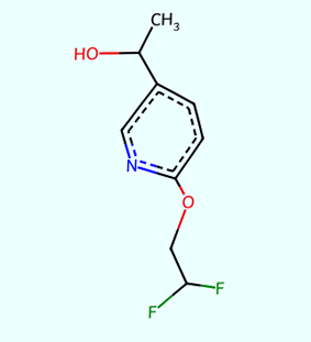 CC(O)c1ccc(OCC(F)F)nc1